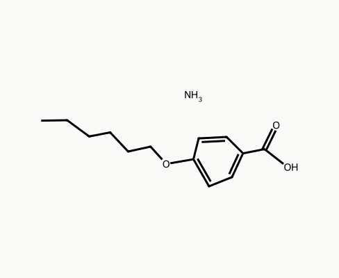 CCCCCCOc1ccc(C(=O)O)cc1.N